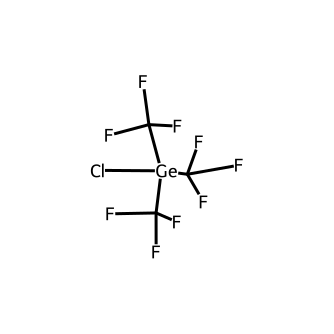 F[C](F)(F)[Ge]([Cl])([C](F)(F)F)[C](F)(F)F